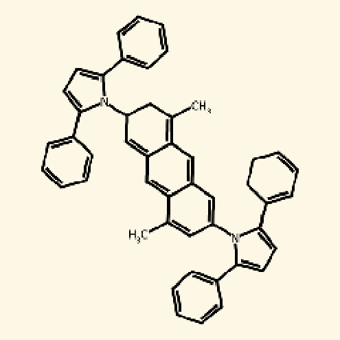 CC1=c2cc3cc(-n4c(C5=CC=CCC5)ccc4-c4ccccc4)cc(C)c3cc2=CC(n2c(-c3ccccc3)ccc2-c2ccccc2)C1